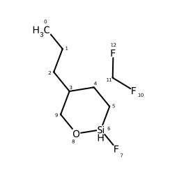 CCCC1CC[SiH](F)OC1.FCF